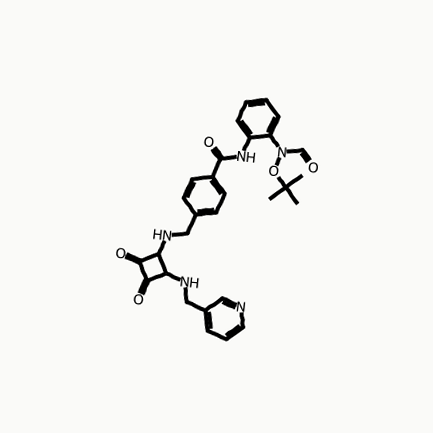 CC(C)(C)ON(C=O)c1ccccc1NC(=O)c1ccc(CNC2C(=O)C(=O)C2NCc2cccnc2)cc1